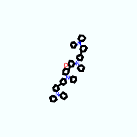 C1=CC(N(c2ccccc2)c2cccc(-c3ccc(N(c4ccccc4)c4ccc5oc6ccc(N(c7ccccc7)c7ccc(-c8cccc(N(c9ccccc9)c9ccccc9)c8)cc7)cc6c5c4)cc3)c2)=CCC1